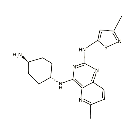 Cc1cc(Nc2nc(N[C@H]3CC[C@H](N)CC3)c3nc(C)ccc3n2)sn1